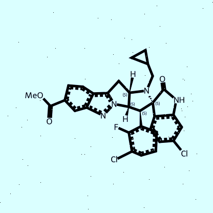 COC(=O)c1ccc2c3n(nc2c1)[C@@H]1[C@H](C3)N(CC2CC2)[C@@]2(C(=O)Nc3cc(Cl)ccc32)[C@H]1c1cccc(Cl)c1F